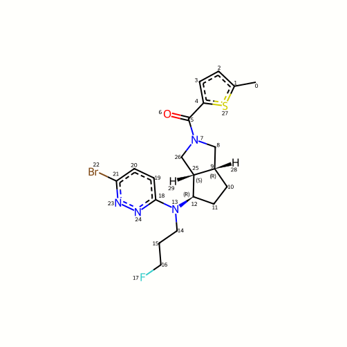 Cc1ccc(C(=O)N2C[C@@H]3CC[C@@H](N(CCCF)c4ccc(Br)nn4)[C@@H]3C2)s1